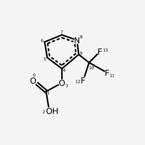 O=C(O)Oc1cccnc1C(F)(F)F